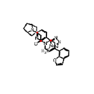 Cn1nnnc1-c1ccc(N2C3CCC2CN(CC(=O)N2CC=C(c4cccc5ccoc45)CC2)C3)nc1